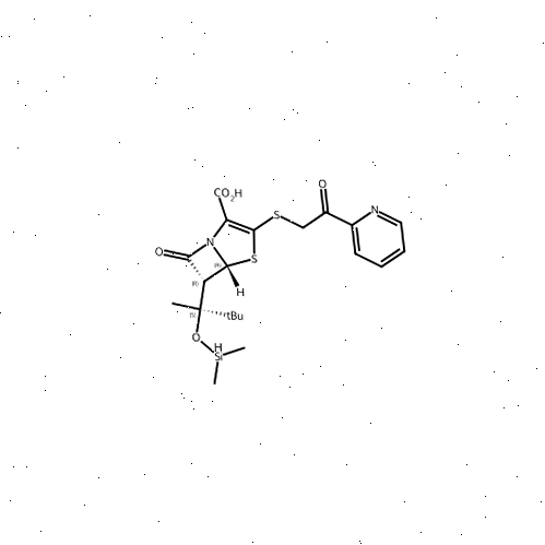 C[SiH](C)O[C@@](C)([C@@H]1C(=O)N2C(C(=O)O)=C(SCC(=O)c3ccccn3)S[C@H]12)C(C)(C)C